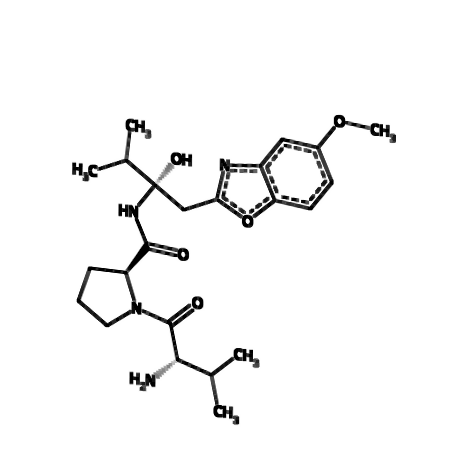 COc1ccc2oc(C[C@@](O)(NC(=O)[C@@H]3CCCN3C(=O)[C@@H](N)C(C)C)C(C)C)nc2c1